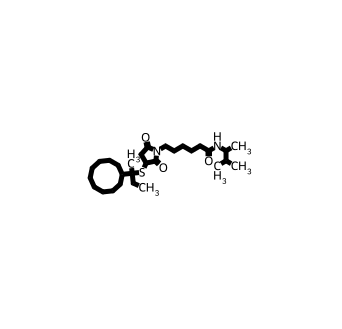 CCC(C)(SC1CC(=O)N(CCCCCC(=O)NC(C)C(C)C)C1=O)C1CCCCCCCCC1